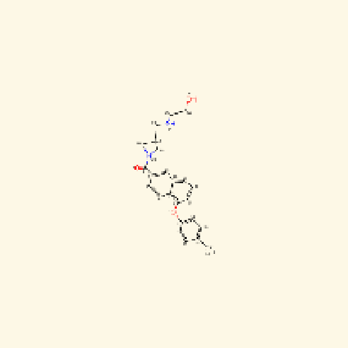 O=C(c1ccc2c(Oc3ccc(C(F)(F)F)cc3)cccc2c1)N1CC(CNCCO)C1